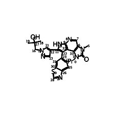 CC(C)n1c(=O)n(C)c2cnc3[nH]c(-c4cnn(CC(C)(C)O)c4)c(-c4ccc5ncsc5c4)c3c21